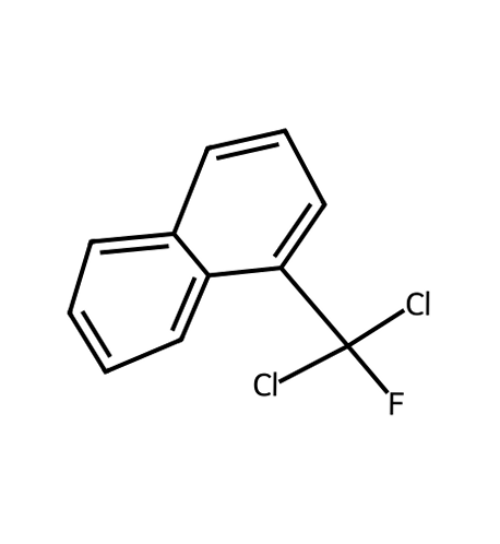 FC(Cl)(Cl)c1cccc2ccccc12